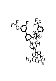 CC(C)(C)OC(=O)N1CCN2c3ccc(-c4cc(F)cc(OC(F)F)c4)cc3N(S(=O)(=O)c3cccc(C(F)(F)F)c3)C[C@H]2C1